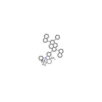 CC1(C)CCCC2(C)c3cc(-c4cc(-c5cccc6ccccc56)c5ccc6c(-c7ccccc7)cc(-c7cccc8ccccc78)c7ccc4c5c67)ccc3N(c3ccccc3)C12C